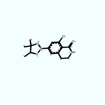 CC1OB(c2cc(Cl)c3c(c2)CCNC3=O)OC1(C)C